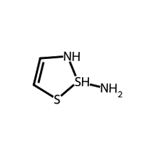 N[SH]1NC=CS1